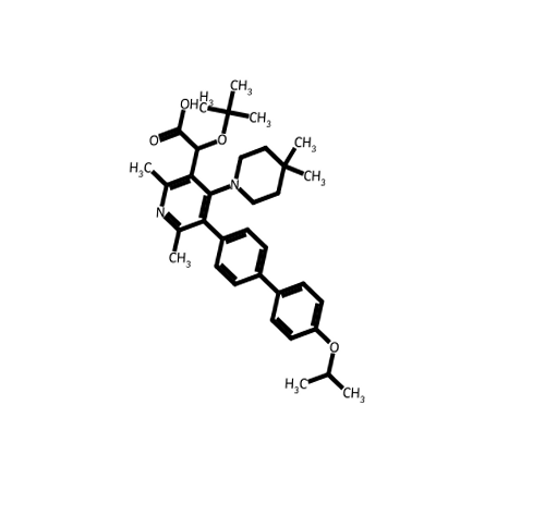 Cc1nc(C)c(C(OC(C)(C)C)C(=O)O)c(N2CCC(C)(C)CC2)c1-c1ccc(-c2ccc(OC(C)C)cc2)cc1